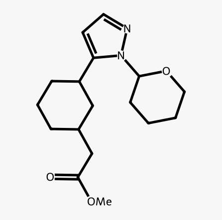 COC(=O)CC1CCCC(c2ccnn2C2CCCCO2)C1